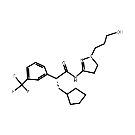 O=C(NC1=NN(CCCO)CC1)[C@H](CC1CCCC1)c1cccc(C(F)(F)F)c1